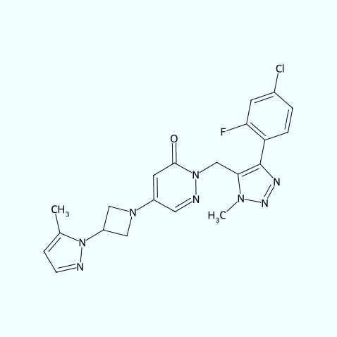 Cc1ccnn1C1CN(c2cnn(Cc3c(-c4ccc(Cl)cc4F)nnn3C)c(=O)c2)C1